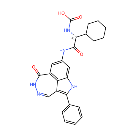 O=C(O)N[C@@H](C(=O)Nc1cc2c3c(c(-c4ccccc4)[nH]c3c1)C=NNC2=O)C1CCCCC1